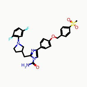 CS(=O)(=O)c1ccc(COc2ccc(-c3cn(C(N)=O)c(CC4CCN(c5cc(F)ccc5F)C4)n3)cc2)cc1